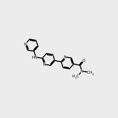 CN(C)C(=O)c1ccc(-c2ccc(Nc3cccnc3)nc2)nc1